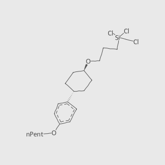 CCCCCOc1ccc([C@H]2CC[C@H](OCCC[Si](Cl)(Cl)Cl)CC2)cc1